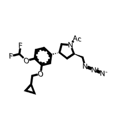 CC(=O)N1C[C@@H](c2ccc(OC(F)F)c(OCC3CC3)c2)C[C@@H]1CN=[N+]=[N-]